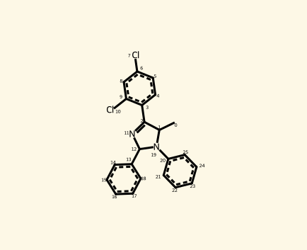 CC1C(c2ccc(Cl)cc2Cl)=NC(c2ccccc2)N1c1ccccc1